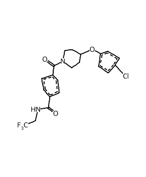 O=C(NCC(F)(F)F)c1ccc(C(=O)N2CCC(Oc3ccc(Cl)cc3)CC2)cc1